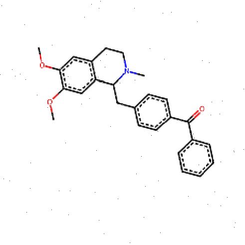 COc1cc2c(cc1OC)C(Cc1ccc(C(=O)c3ccccc3)cc1)N(C)CC2